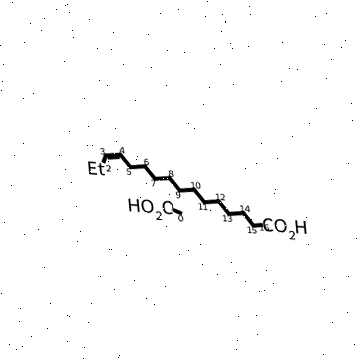 CC(=O)O.CC/C=C\CCCCCCCCCCCC(=O)O